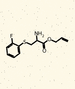 C=CCOC(=O)C(N)CSc1ccccc1F